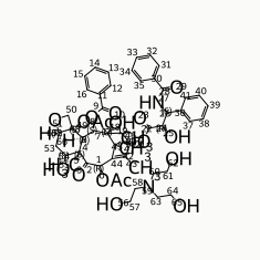 CC(=O)O[C@H]1C(=O)[C@@]2(C)[C@H]([C@H](OC(=O)c3ccccc3)[C@]3(O)C[C@H](OC(=O)[C@H](O)[C@@H](NC(=O)c4ccccc4)c4ccccc4)C(C)=C1C3(C)C)[C@]1(OC(C)=O)CO[C@@H]1C[C@@H]2O.OCCN(CCO)CCO